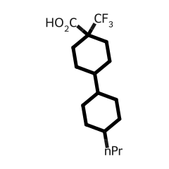 CCCC1CCC(C2CCC(C(=O)O)(C(F)(F)F)CC2)CC1